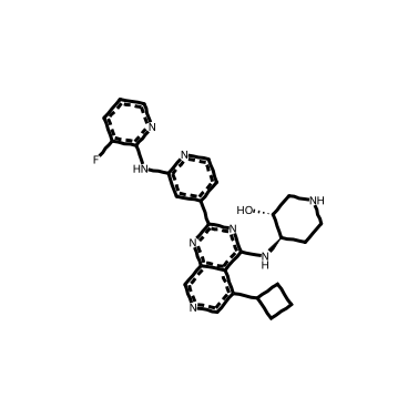 O[C@@H]1CNCC[C@H]1Nc1nc(-c2ccnc(Nc3ncccc3F)c2)nc2cncc(C3CCC3)c12